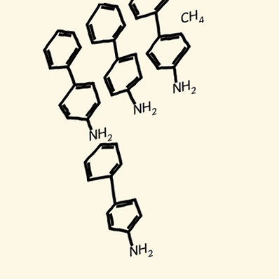 C.Nc1ccc(-c2ccccc2)cc1.Nc1ccc(-c2ccccc2)cc1.Nc1ccc(-c2ccccc2)cc1.Nc1ccc(-c2ccccc2)cc1